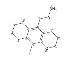 NCCc1c2c(c(I)c3c1OCCC3)OCCC2